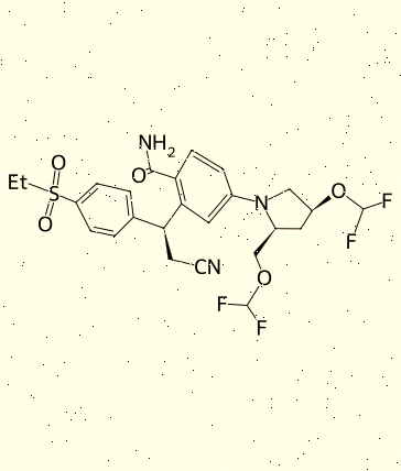 CCS(=O)(=O)c1ccc([C@H](CC#N)c2cc(N3C[C@@H](OC(F)F)C[C@H]3COC(F)F)ccc2C(N)=O)cc1